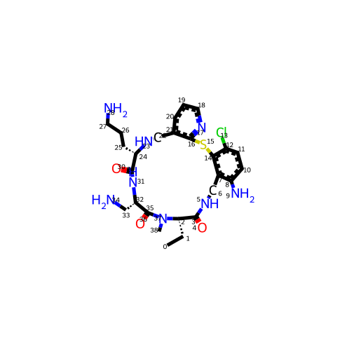 CC[C@H]1C(=O)NCc2c(N)ccc(Cl)c2Sc2ncccc2CN[C@@H](CCCN)C(=O)N[C@@H](CN)C(=O)N1C